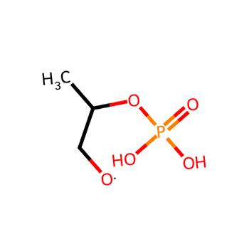 CC(C[O])OP(=O)(O)O